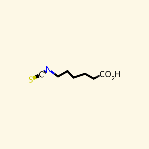 O=C(O)CCCCCN=C=S